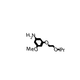 COc1cc(N)cc(OCCOC(C)C)c1